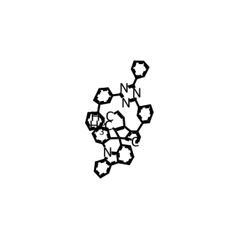 C/C=C\C1=C(C)C2(c3ccccc3-n3c4ccccc4c4cccc2c43)c2cccc(-c3cccc(-c4nc(-c5ccccc5)nc(-c5cccc(-c6ccccc6)c5)n4)c3)c21